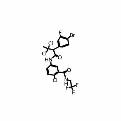 CC(Cl)(Cl)C(C(=O)Nc1ccc(Cl)c(C(=O)NCC(F)(F)F)c1)c1ccc(Br)c(F)c1